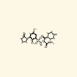 NC(=O)[C@H](NS(=O)(=O)c1cc(F)cc(N2CCCC2=O)c1Cl)C(=O)N1CCNCC1